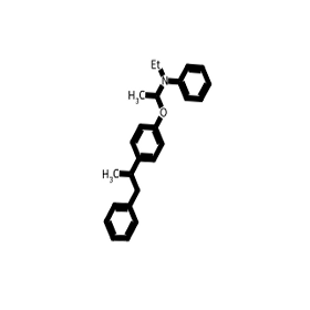 CCN(c1ccccc1)C(C)Oc1ccc(C(C)Cc2ccccc2)cc1